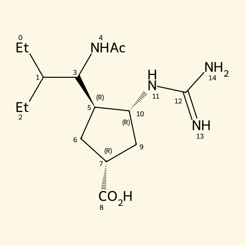 CCC(CC)C(NC(C)=O)[C@@H]1C[C@@H](C(=O)O)C[C@H]1NC(=N)N